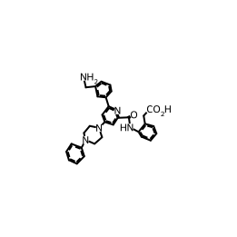 NCc1cccc(-c2cc(N3CCN(c4ccccc4)CC3)cc(C(=O)Nc3ccccc3CC(=O)O)n2)c1